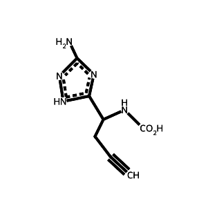 C#CCC(NC(=O)O)c1nc(N)n[nH]1